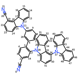 N#Cc1ccc(-c2cccc(-n3c4ccccc4c4c(C#N)cccc43)c2)c(-n2c3ccccc3c3c(-n4c5ccccc5c5ccccc54)cccc32)c1